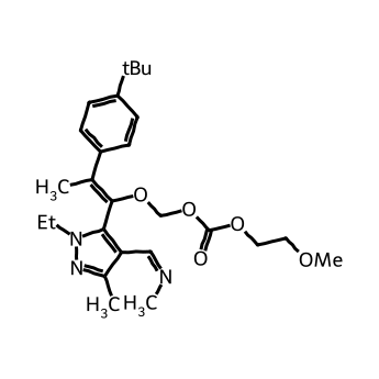 CCn1nc(C)c(/C=N\C)c1/C(OCOC(=O)OCCOC)=C(\C)c1ccc(C(C)(C)C)cc1